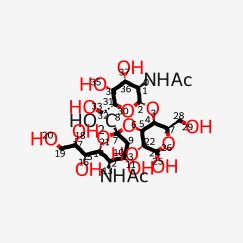 CC(=O)N[C@H]1[C@H](O[C@@H]2[C@H](O[C@]3(C(=O)O)C[C@H](O)[C@@H](NC(C)=O)[C@H]([C@H](O)[C@H](O)CO)O3)[C@@H](O)C(O)O[C@@H]2CO)O[C@H](CO)[C@H](O)[C@@H]1O